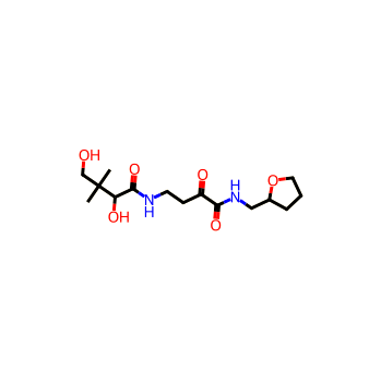 CC(C)(CO)C(O)C(=O)NCCC(=O)C(=O)NCC1CCCO1